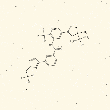 CC(C)(O)C1(C)CCN(c2cnc(C(F)(F)F)c(NC(=O)c3cccc(-c4cnn(CC(F)(F)F)c4)n3)c2)C1